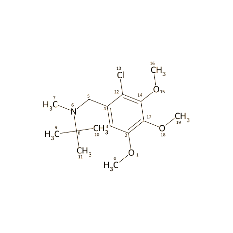 COc1cc(CN(C)C(C)(C)C)c(Cl)c(OC)c1OC